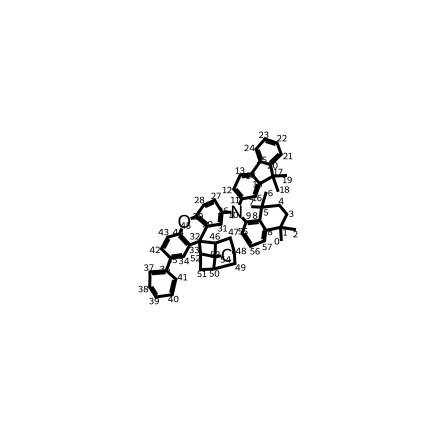 CC1(C)CCC(C)(C)c2c(N(c3ccc4c(c3)C(C)(C)c3ccccc3-4)c3ccc4c(c3)C3(c5cc(-c6ccccc6)ccc5O4)C4CC5CC6CC3C64C5)cccc21